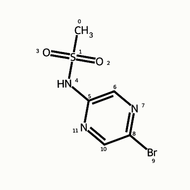 CS(=O)(=O)Nc1cnc(Br)cn1